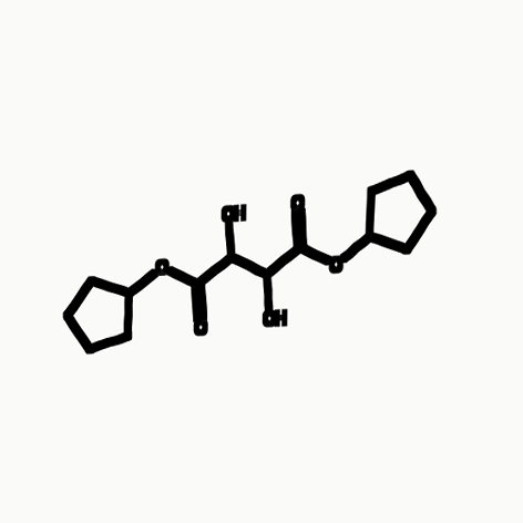 O=C(OC1CCCC1)C(O)C(O)C(=O)OC1CCCC1